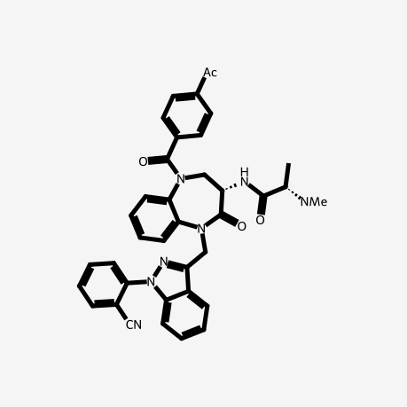 CN[C@@H](C)C(=O)N[C@H]1CN(C(=O)c2ccc(C(C)=O)cc2)c2ccccc2N(Cc2nn(-c3ccccc3C#N)c3ccccc23)C1=O